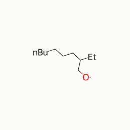 CCCCCCCC(CC)C[O]